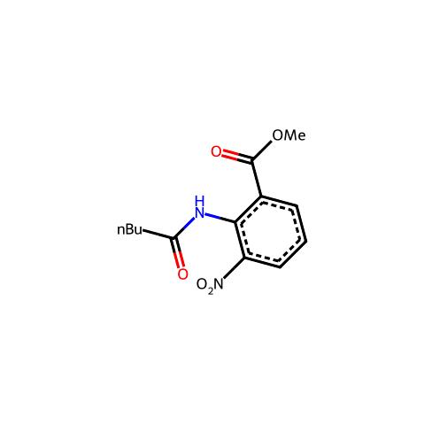 CCCCC(=O)Nc1c(C(=O)OC)cccc1[N+](=O)[O-]